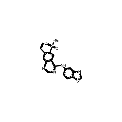 C=Cc1cc2ncnc(Nc3ccc4scnc4c3)c2cc1S(=O)(=O)C(C)(C)C